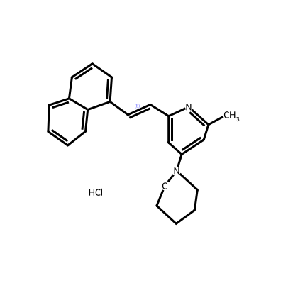 Cc1cc(N2CCCCC2)cc(/C=C/c2cccc3ccccc23)n1.Cl